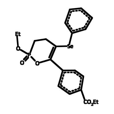 CCOC(=O)c1ccc(C2=C([Se]c3ccccc3)CCP(=O)(OCC)O2)cc1